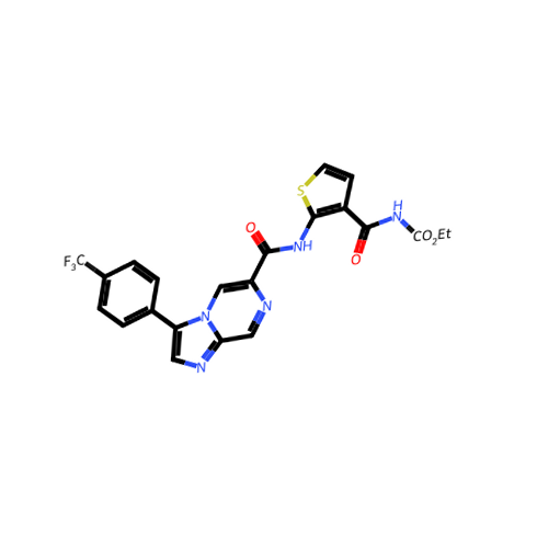 CCOC(=O)NC(=O)c1ccsc1NC(=O)c1cn2c(-c3ccc(C(F)(F)F)cc3)cnc2cn1